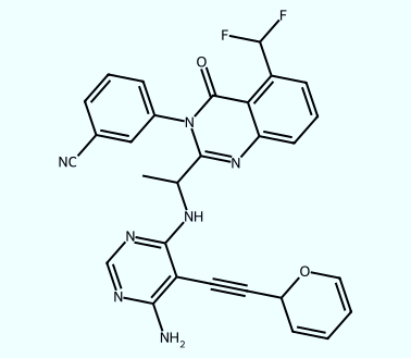 CC(Nc1ncnc(N)c1C#CC1C=CC=CO1)c1nc2cccc(C(F)F)c2c(=O)n1-c1cccc(C#N)c1